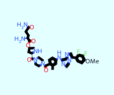 COc1ccc(-c2cnc3c(Nc4ccc(C(=O)N5CCN(C(=O)[C@@H]6C[C@@H](OC(=O)[C@@H](N)CCC(N)=O)CN6)CC5)c(C)c4)nccn23)c(F)c1F